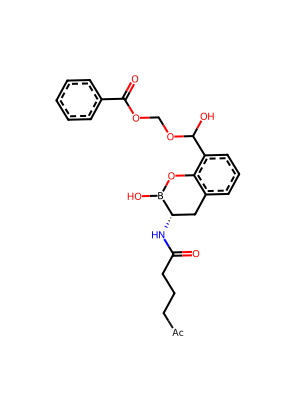 CC(=O)CCCC(=O)N[C@H]1Cc2cccc(C(O)OCOC(=O)c3ccccc3)c2OB1O